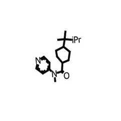 CC(C)C(C)(C)C1CCC(C(=O)N(C)c2ccncc2)CC1